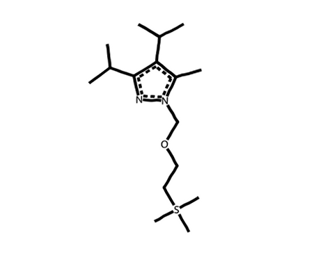 Cc1c(C(C)C)c(C(C)C)nn1COCCS(C)(C)C